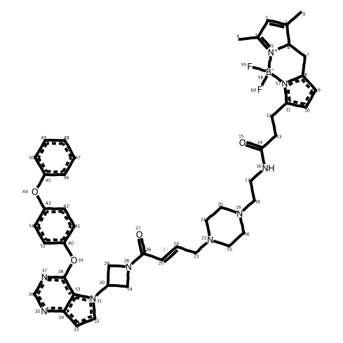 CC1=CC(C)=[N+]2C1Cc1ccc(CCC(=O)NCCN3CCN(C/C=C/C(=O)N4CC(n5ccc6ncnc(Oc7ccc(Oc8ccccc8)cc7)c65)C4)CC3)n1[B-]2(F)F